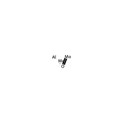 [Al].[Mg].[O]=[Mo]